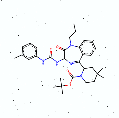 CCCN1C(=O)C(NC(=O)Nc2cccc(C)c2)N=C(C2CC(C)(C)CCN2C(=O)OC(C)(C)C)c2ccccc21